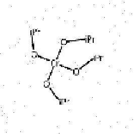 CC(C)[O][Cr]([O]C(C)C)([O]C(C)C)[O]C(C)C